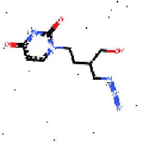 [N-]=[N+]=NCC(CO)CCn1ccc(=O)[nH]c1=O